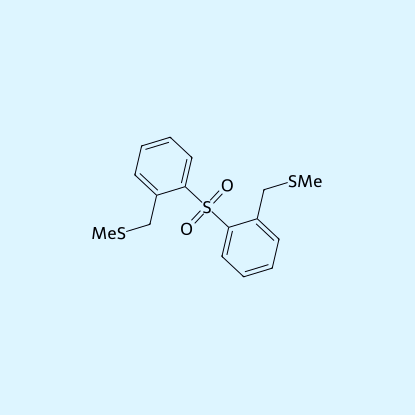 CSCc1ccccc1S(=O)(=O)c1ccccc1CSC